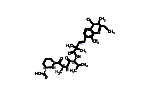 CCC1=Nc2c(ccc(/C=C/C(C)(C)C(=O)N[C@H](C(=O)N[C@@H](C)C(=O)N3CCC[C@@H](C(=O)O)N3)C(C)C)c2C)C(Cl)C1C